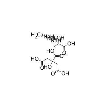 CC(O)C(=O)O.O=C(O)CC(O)(CC(=O)O)C(=O)O.[CaH2].[NaH].[NaH].[NaH]